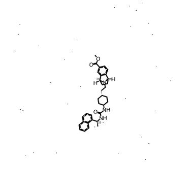 COC(=O)c1ccc2c(c1)[C@H]1CC[C@@H]2N1CC[C@H]1CC[C@H](NC(=O)N[C@@H](C)c2cccc3ccccc23)CC1